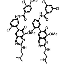 COc1ccc(C(=O)Nc2ccc(Cl)c(-c3cc4cnc(NCCN(C)C)nc4n(OC)c3=O)c2)cc1Cl.COn1c(=O)c(-c2cc(NC(=O)c3cc(Cl)cc(Cl)c3)ccc2Cl)cc2cnc(NCCN(C)C)nc21